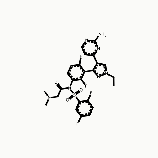 CCn1cc(-c2ccnc(N)n2)c(-c2c(F)ccc(N(C(=O)CN(C)C)S(=O)(=O)c3cc(F)ccc3F)c2F)n1